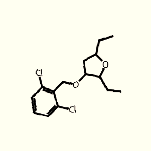 CCC1CC(OCc2c(Cl)cccc2Cl)C(CC)O1